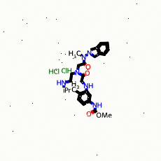 COC(=O)Nc1ccc(C)c(NCC(=O)N(CCNC(C)C)CC(=O)N(C)N2Cc3ccccc3C2)c1.Cl.Cl